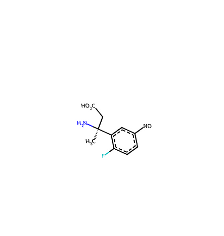 C[C@](N)(CC(=O)O)c1cc(N=O)ccc1F